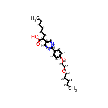 CCCCCCC(C(=O)O)c1cnc(-c2ccc(OCCOCCCCC)cc2)nc1